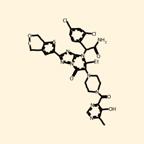 CCc1c(N2CCN(C(=O)c3ncnc(C)c3O)CC2)c(=O)n2nc(-c3cc4c(s3)COCC4)nc2n1C(C(N)=O)c1ccc(Cl)cc1Cl